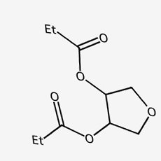 CCC(=O)OC1COCC1OC(=O)CC